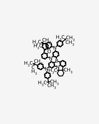 CC(C)(C)c1ccc(N(c2ccc(C(C)(C)C)cc2)c2ccc3c(c2)N(c2cccc4c2oc2ccccc24)c2cc(N(c4ccc(C(C)(C)C)cc4)c4ccc(C(C)(C)C)cc4)cc4c2B3c2cccc3c2N4C2(C)CCCCC32C)cc1